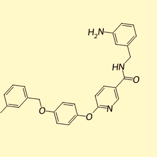 Nc1cccc(CNC(=O)c2ccc(Oc3ccc(OCc4cccc(F)c4)cc3)nc2)c1